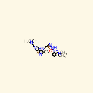 CN(C)CCCN1CCc2c(sc3ncc(C#N)c(NCCc4cnc(NC(=O)Nc5ccccc5CN(C)C)s4)c23)C1